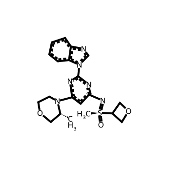 C[C@@H]1COCCN1c1cc(N=[S@@](C)(=O)C2COC2)nc(-n2cnc3ccccc32)n1